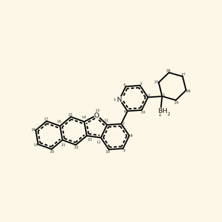 BC1(c2ccnc(-c3cccc4c3oc3cc5ccccc5cc34)c2)CCCCC1